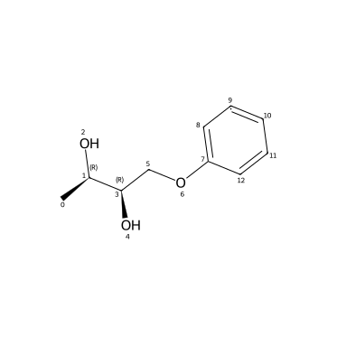 C[C@@H](O)[C@H](O)COc1c[c]ccc1